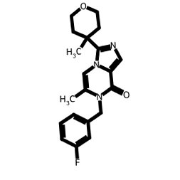 Cc1cn2c(C3(C)CCOCC3)ncc2c(=O)n1Cc1cccc(F)c1